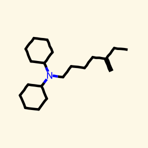 C=C(CC)CCCCN(C1CCCCC1)C1CCCCC1